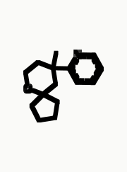 CC1(c2ccccn2)CCOC2(CCCC2)C1